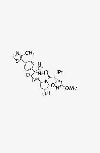 COc1cc([C@H](C(=O)N2C[C@H](O)C[C@H]2C2=NC(=O)[C@](C)(c3ccc(-c4scnc4C)cc3)N2)C(C)C)on1